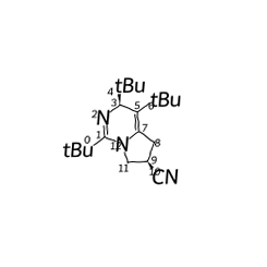 CC(C)(C)C1=N[C@@H](C(C)(C)C)C(C(C)(C)C)=C2C[C@@H](C#N)CN12